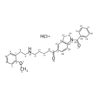 COc1ccccc1CCNCCCCC(=O)c1ccc2c(c1)CCN2C(=O)c1ccccc1.Cl